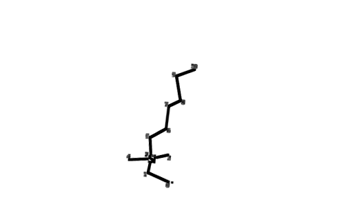 [CH2]C[Si](C)(C)CCCCCC